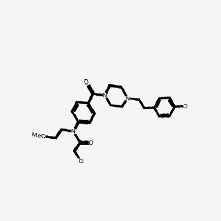 COCCN(C(=O)CCl)c1ccc(C(=O)N2CCN(CCc3ccc(Cl)cc3)CC2)cc1